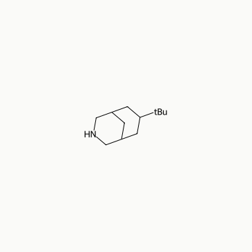 CC(C)(C)C1CC2CNCC(C2)C1